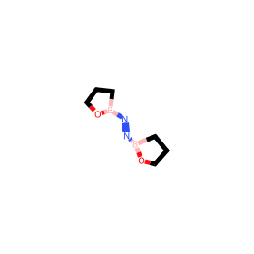 C1COB(N=NB2CCCO2)C1